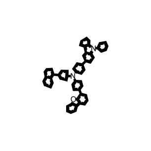 c1ccc(-n2c3ccccc3c3cc(-c4ccc(N(c5ccc(-c6cccc7ccccc67)cc5)c5ccc(-c6cccc7c6oc6ccccc67)cc5)cc4)ccc32)cc1